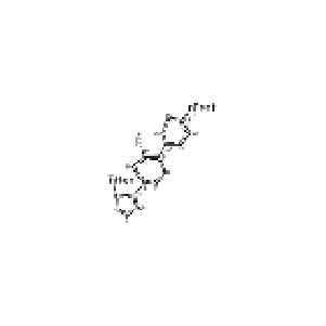 CCCCCCc1ccsc1-c1ccc(-c2ccc(CCCCC)cc2)c(F)c1